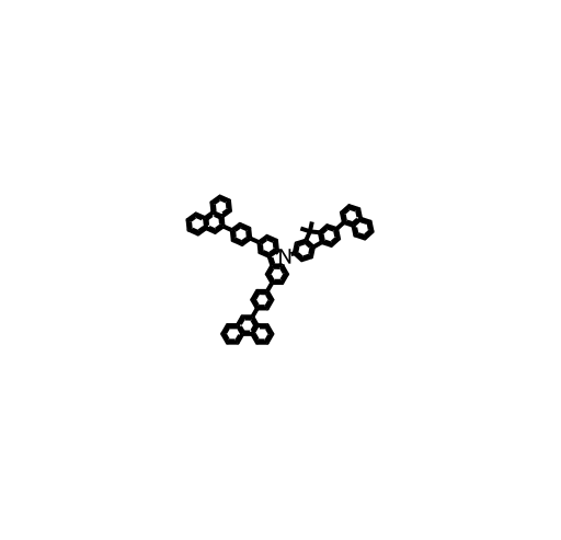 CC1(C)c2cc(-c3cccc4ccccc34)ccc2-c2ccc(-n3c4ccc(-c5ccc(-c6cc7ccccc7c7ccccc67)cc5)cc4c4cc(-c5ccc(-c6cc7ccccc7c7ccccc67)cc5)ccc43)cc21